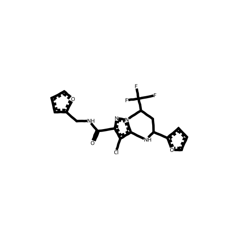 O=C(NCc1ccco1)c1nn2c(c1Cl)NC(c1ccco1)CC2C(F)(F)F